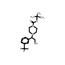 CC(C)(C)OC(=O)N1CCN(C(CO)c2cccc(C(F)(F)F)c2)CC1